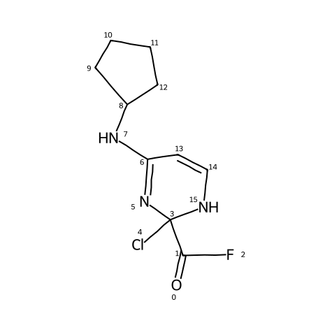 O=C(F)C1(Cl)N=C(NC2CCCC2)C=CN1